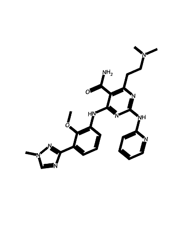 COc1c(Nc2nc(Nc3ccccn3)nc(CCN(C)C)c2C(N)=O)cccc1-c1ncn(C)n1